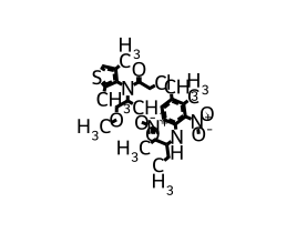 CCC(CC)Nc1c([N+](=O)[O-])cc(C)c(C)c1[N+](=O)[O-].COCC(C)N(C(=O)CCl)c1c(C)csc1C